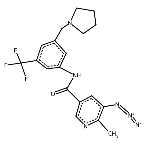 Cc1ncc(C(=O)Nc2cc(CN3CCCC3)cc(C(F)(F)F)c2)cc1N=[N+]=[N-]